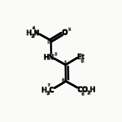 CC/C(NC(N)=O)=C(/C)C(=O)O